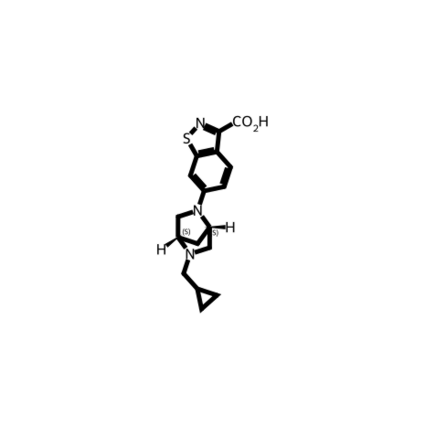 O=C(O)c1nsc2cc(N3C[C@@H]4C[C@H]3CN4CC3CC3)ccc12